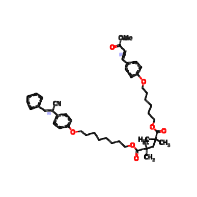 CCC(C)(CC(C)(C)C(=O)OCCCCCCOc1ccc(/C=C/C(=O)OC)cc1)C(=O)OCCCCCCCCOc1ccc(/C(C#N)=C/c2ccccc2)cc1